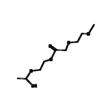 COCCOCC(=O)OCCOC(C)O